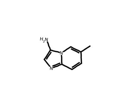 Cc1ccc2ncc(N)n2c1